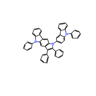 c1ccc(-c2c(-c3ccccc3)n(-c3ccc4c(c3)c3ccccc3n4-c3ccccc3)c3cc4c5ccccc5n(-c5ccccc5)c4cc23)cc1